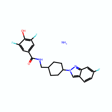 N.O=C(NCC1CCC(n2cc3ccc(F)cc3n2)CC1)c1cc(F)c(O)c(F)c1